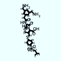 CC(C)CNS(=O)(=O)c1ccc(SCC2=C(C(=O)O)N3C(=O)C(NC(=O)Cc4cc(CN)cc(CN)c4)[C@@H]3SC2)cc1